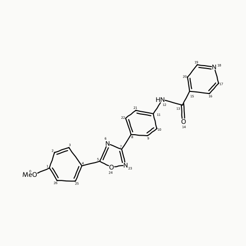 COc1ccc(-c2nc(-c3ccc(NC(=O)c4ccncc4)cc3)no2)cc1